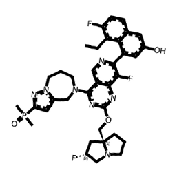 CCc1c(F)ccc2cc(O)cc(-c3ncc4c(N5CCCn6nc(P(C)(C)=O)cc6C5)nc(OC[C@@]56CCCN5C[C@H](F)C6)nc4c3F)c12